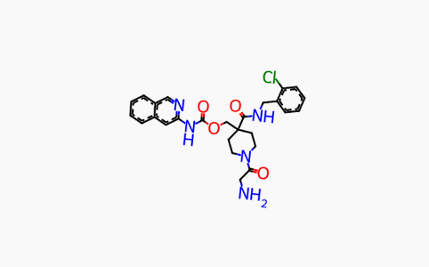 NCC(=O)N1CCC(COC(=O)Nc2cc3ccccc3cn2)(C(=O)NCc2ccccc2Cl)CC1